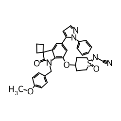 COc1ccc(CN2C(=O)C3(CCC3)c3cc(-c4ccnn4-c4ccccc4)cc(OC4CCS(=O)(=NC#N)CC4)c32)cc1